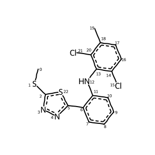 CSc1nnc(-c2ccccc2Nc2c(Cl)ccc(C)c2Cl)s1